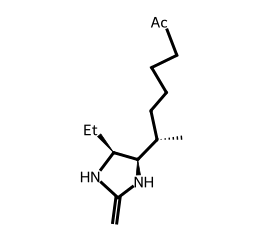 C=C1N[C@H]([C@@H](C)CCCCC(C)=O)[C@H](CC)N1